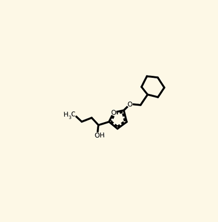 CCCC(O)c1ccc(OCC2CCCCC2)o1